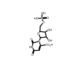 O=C(O)c1cc(=O)[nH]c(=O)n1C1OC(COP(=O)(O)O)C(O)C1O